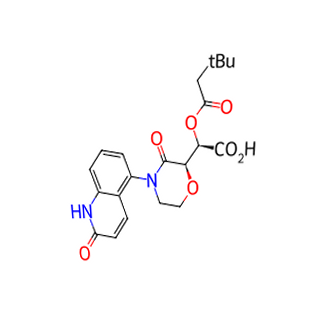 CC(C)(C)CC(=O)O[C@@H](C(=O)O)[C@H]1OCCN(c2cccc3[nH]c(=O)ccc23)C1=O